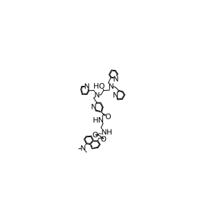 CN(C)c1cccc2c(S(=O)(=O)NCCNC(=O)c3ccc(CN(Cc4ccccn4)CC(O)CN(Cc4ccccn4)Cc4ccccn4)nc3)cccc12